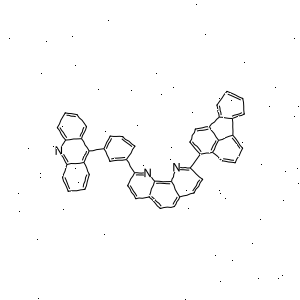 c1cc(-c2ccc3ccc4ccc(-c5ccc6c7c(cccc57)-c5ccccc5-6)nc4c3n2)cc(-c2c3ccccc3nc3ccccc23)c1